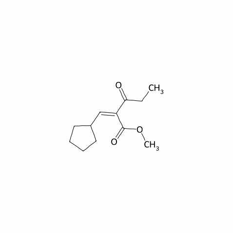 CCC(=O)C(=CC1CCCC1)C(=O)OC